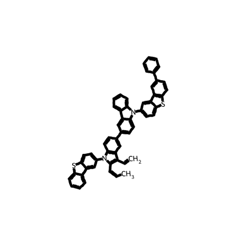 C=Cc1c(/C=C\C)n(-c2ccc3sc4ccccc4c3c2)c2ccc(-c3ccc4c(c3)c3ccccc3n4-c3ccc4sc5ccc(-c6ccccc6)cc5c4c3)cc12